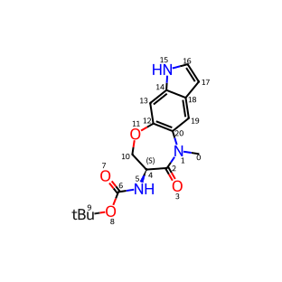 CN1C(=O)[C@@H](NC(=O)OC(C)(C)C)COc2cc3[nH]ccc3cc21